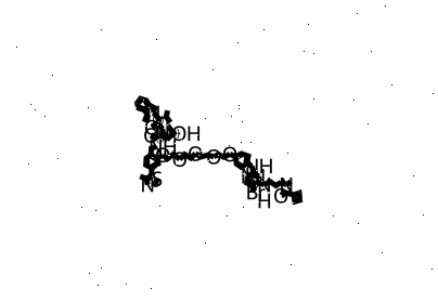 C=C1c2ccccc2CN1[C@H](C(=O)N1C[C@H](O)C[C@H]1C(=O)NCc1ccc(-c2scnc2C)cc1OCCOCCOCCOCCOc1ccc(Nc2ncc(Br)c(NCCCN(C)C(=O)C3CCC3)n2)cc1)C(C)C